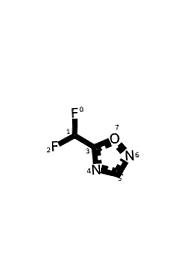 FC(F)c1n[c]no1